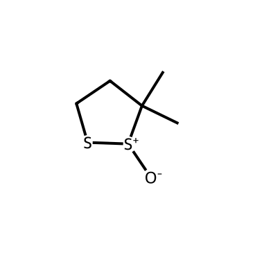 CC1(C)CCS[S+]1[O-]